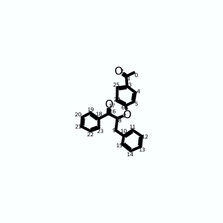 CC(=O)c1ccc(OC(Cc2ccccc2)C(=O)c2ccccc2)cc1